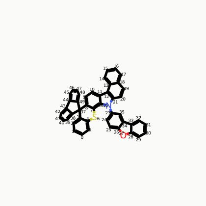 c1ccc2c(c1)Sc1c(ccc3c4c5ccccc5ccc4n(-c4ccc5oc6ccccc6c5c4)c13)C21c2ccccc2-c2ccccc21